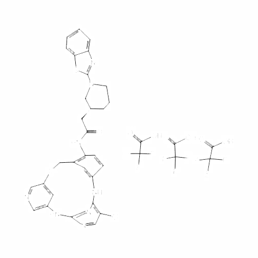 O=C(C[C@@H]1CCCN(c2nc3ccccc3s2)C1)Nc1ccc2cc1CCc1cncc(c1)Nc1ncc(Cl)c(n1)N2.O=C(O)C(F)(F)F.O=C(O)C(F)(F)F.O=C(O)C(F)(F)F